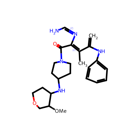 C=C(Nc1ccccc1)/C(C)=C(\N=C/N)C(=O)N1CCC(NC2CCOCC2OC)CC1